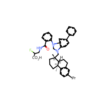 CC(C)c1ccc2c(c1)CC[C@H]1[C@@](C)(CN3CN(c4ccccc4C(=O)NCC(F)C(=O)O)c4cc(-c5ccccc5)ccc43)CCC[C@]21C